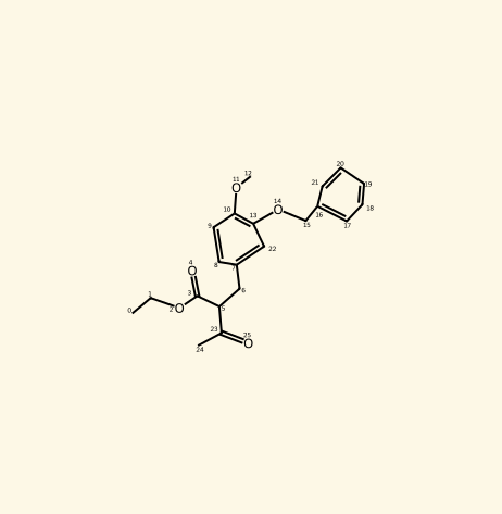 CCOC(=O)C(Cc1ccc(OC)c(OCc2ccccc2)c1)C(C)=O